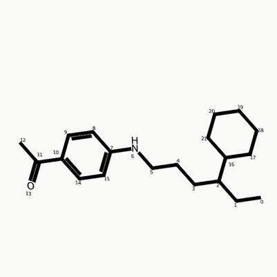 CCC(CCCNc1ccc(C(C)=O)cc1)C1CCCCC1